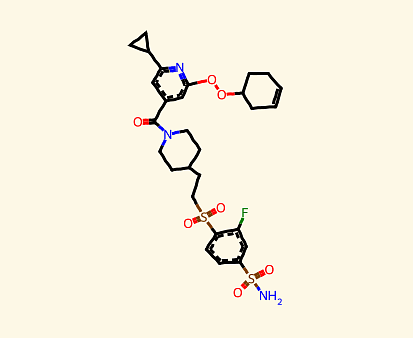 NS(=O)(=O)c1ccc(S(=O)(=O)CCC2CCN(C(=O)c3cc(OOC4CC=CCC4)nc(C4CC4)c3)CC2)c(F)c1